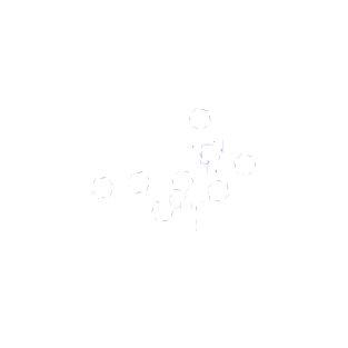 Cc1ccc(-c2ccccc2-c2nc(-c3ccccc3)nc(-c3ccc4c(c3)oc3cccc(-c5cccc(-c6ccccc6)c5)c34)n2)cc1